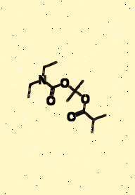 CCN(CC)C(=O)OC(C)(C)OC(=O)C(C)C